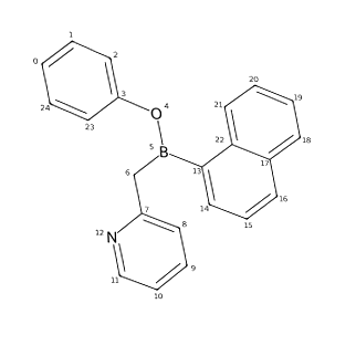 c1ccc(OB(Cc2ccccn2)c2cccc3ccccc23)cc1